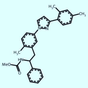 COC(=O)NC(Cc1cc(-n2ccc(-c3ccc(C)cc3C)n2)ccc1C)c1ccccc1